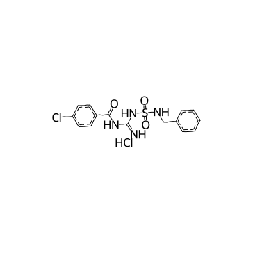 Cl.N=C(NC(=O)c1ccc(Cl)cc1)NS(=O)(=O)NCc1ccccc1